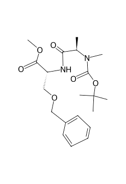 COC(=O)[C@@H](COCc1ccccc1)NC(=O)[C@@H](C)N(C)C(=O)OC(C)(C)C